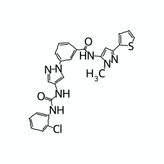 Cn1nc(-c2cccs2)cc1NC(=O)c1cccc(-n2cc(NC(=O)Nc3ccccc3Cl)cn2)c1